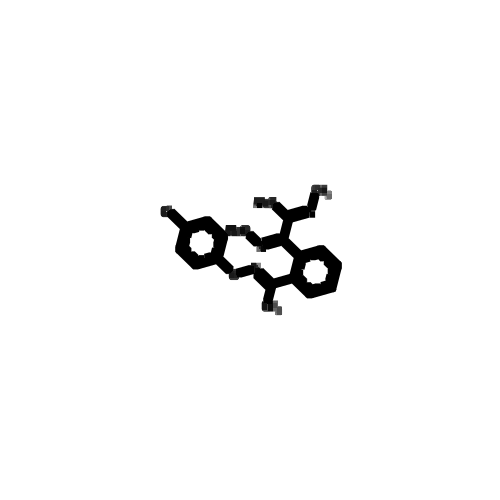 CN=C(SC)C(=NOC)c1ccccc1C(C)=NOc1ccc(Cl)cc1